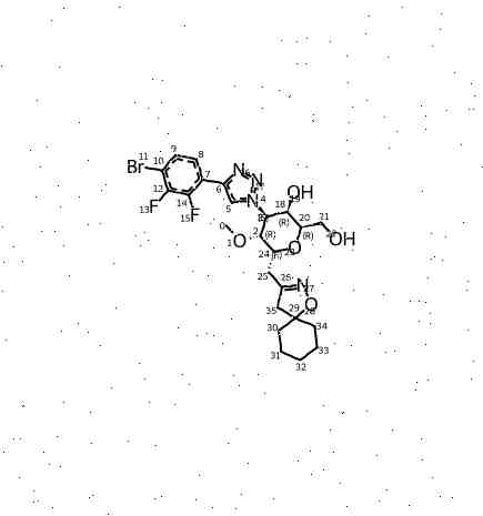 CO[C@@H]1[C@@H](n2cc(-c3ccc(Br)c(F)c3F)nn2)[C@@H](O)[C@@H](CO)O[C@@H]1CC1=NOC2(CCCCC2)C1